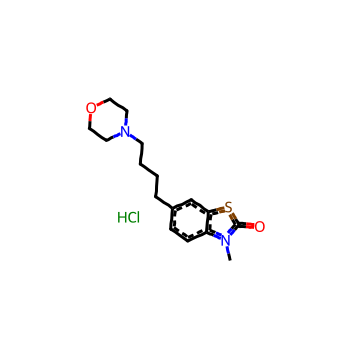 Cl.Cn1c(=O)sc2cc(CCCCN3CCOCC3)ccc21